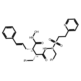 CC(C)C[C@@H](C(=O)NN(CC(C)C)S(=O)(=O)CCc1ccccn1)[C@H](CC=Cc1ccccc1)C(=O)NO